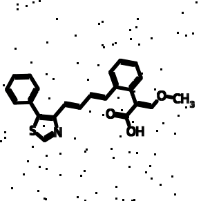 CO/C=C(/C(=O)O)c1ccccc1C=C/C=C/c1ncsc1-c1ccccc1